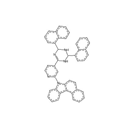 c1ccc2c(C3N=C(c4ccnc(-n5c6ccccc6c6c7ccccc7ccc65)c4)NC(c4cccc5ccccc45)N3)cccc2c1